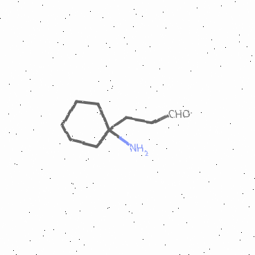 NC1(CC[C]=O)CCCCC1